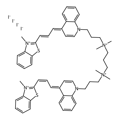 C[n+]1c(C=CC=C2C=CN(CCC[N+](C)(C)CCC[N+](C)(C)CCCN3C=CC(=CC=Cc4sc5ccccc5[n+]4C)c4ccccc43)c3ccccc32)sc2ccccc21.[I-].[I-].[I-].[I-]